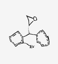 Brc1ccccc1C(c1ccccc1)[C@@H]1CO1